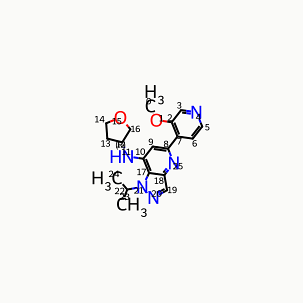 COc1cnccc1-c1cc(N[C@@H]2CCOC2)c2c(cnn2C(C)C)n1